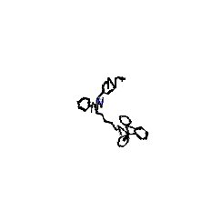 CC[n+]1ccc(/C=N/N(CCCCCN2C(=O)c3ccccc3C2=O)c2ccccc2)cc1